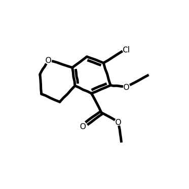 COC(=O)c1c2c(cc(Cl)c1OC)OCCC2